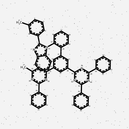 Cc1cccc(-c2nc3ccccc3n2-c2ccccc2-c2cc(-c3nc(C)nc(-c4ccccc4)n3)cc(-c3nc(-c4ccccc4)nc(-c4ccccc4)n3)c2)c1